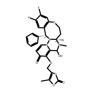 Cc1oc(=O)oc1COc1c2n(ccc1=O)N1[C@H](c3ccccc3)c3cc(F)c(F)cc3OCC[C@H]1N(C)C2O